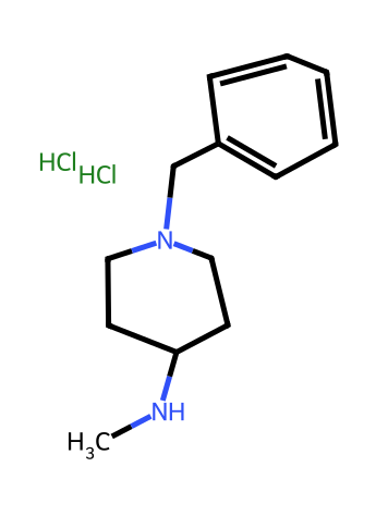 CNC1CCN(Cc2ccccc2)CC1.Cl.Cl